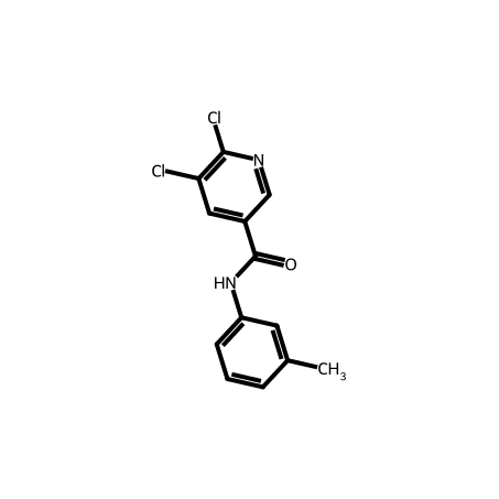 Cc1cccc(NC(=O)c2cnc(Cl)c(Cl)c2)c1